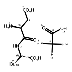 CC[C@H](C)[C@H](NC(=O)[C@@H](N)CC(=O)O)C(=O)O.O=C(O)C(F)(F)F